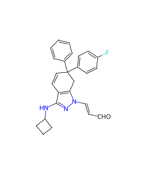 O=CC=Cn1nc(NC2CCC2)c2c1CC(c1ccccc1)(c1ccc(F)cc1)C=C2